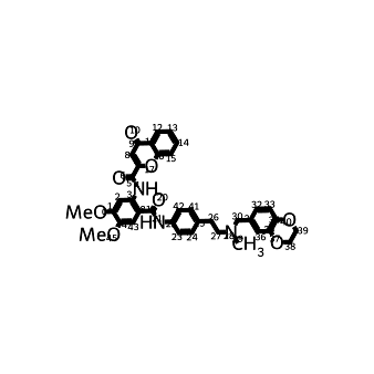 COc1cc(NC(=O)c2cc(=O)c3ccccc3o2)c(C(=O)Nc2ccc(CCN(C)Cc3ccc4c(c3)OCCO4)cc2)cc1OC